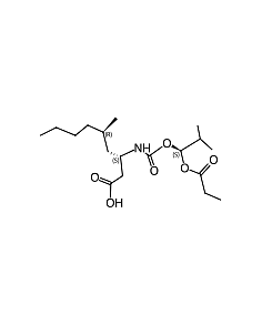 CCCC[C@@H](C)C[C@@H](CC(=O)O)NC(=O)O[C@H](OC(=O)CC)C(C)C